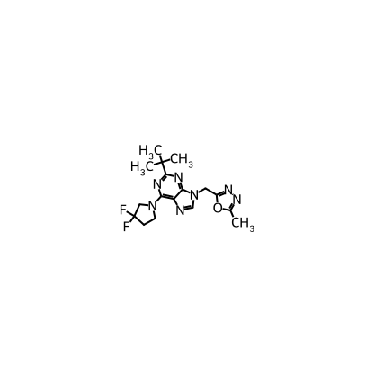 Cc1nnc(Cn2cnc3c(N4CCC(F)(F)C4)nc(C(C)(C)C)nc32)o1